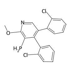 COc1ncc(-c2ccccc2Cl)c(-c2ccccc2Cl)c1P